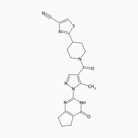 Cc1c(C(=O)N2CCC(c3nc(C#N)cs3)CC2)cnn1-c1nc2c(c(=O)[nH]1)CCC2